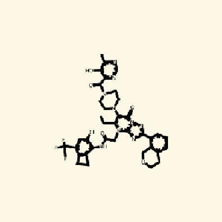 CCc1c(N2CCN(C(=O)c3ncnc(C)c3O)CC2)c(=O)n2nc(-c3cccc4c3COCC4)nc2n1CC(=O)Nc1c(Cl)cc(C(F)(F)F)c2c1CC2